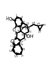 Oc1ccc2c3c1OC1c4oc5ccccc5c4C[C@@]4(O)C(C2)N(CC2CC2)CC[C@]314